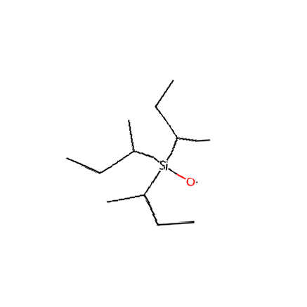 CCC(C)[Si]([O])(C(C)CC)C(C)CC